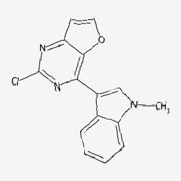 Cn1cc(-c2nc(Cl)nc3ccoc23)c2ccccc21